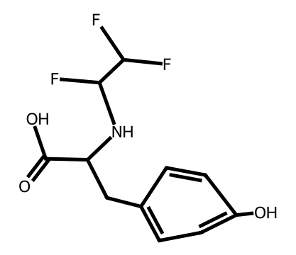 O=C(O)C(Cc1ccc(O)cc1)NC(F)C(F)F